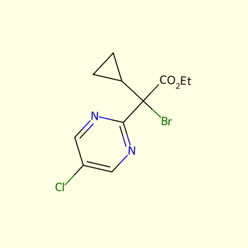 CCOC(=O)C(Br)(c1ncc(Cl)cn1)C1CC1